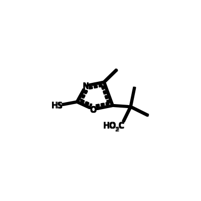 Cc1nc(S)oc1C(C)(C)C(=O)O